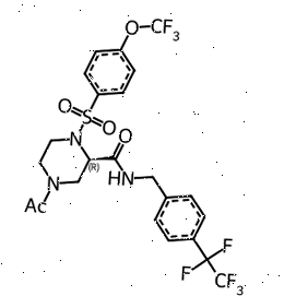 CC(=O)N1CCN(S(=O)(=O)c2ccc(OC(F)(F)F)cc2)[C@@H](C(=O)NCc2ccc(C(F)(F)C(F)(F)F)cc2)C1